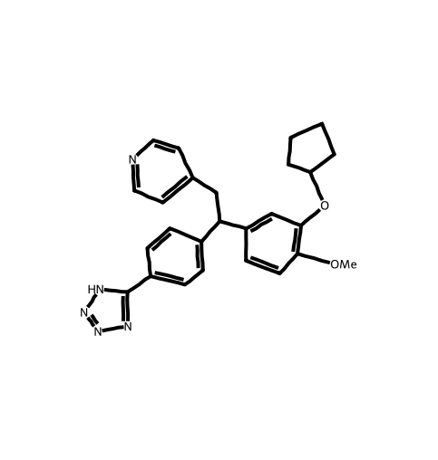 COc1ccc(C(Cc2ccncc2)c2ccc(-c3nnn[nH]3)cc2)cc1OC1CCCC1